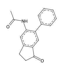 CC(=O)Nc1cc2c(cc1-c1ccccc1)C(=O)CC2